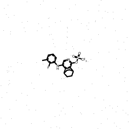 Cc1cccc(Nc2cnc(OS(=O)(=O)C(F)(F)F)c3c2C2CCC3CC2)c1F